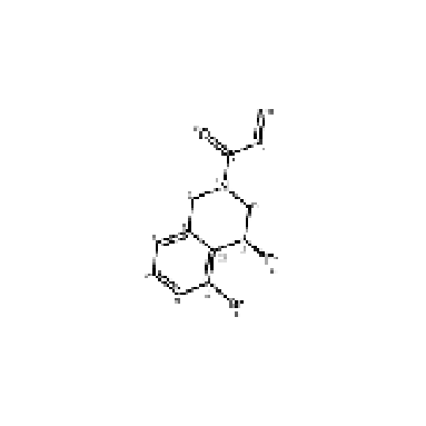 C=CC(=O)N1Cc2cccc(Br)c2[C@H](CC)C1